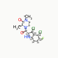 C[C@H]1C(=O)N(C)CCN1C(=O)c1[nH]c2ccc(F)c(Cl)c2c1Cl